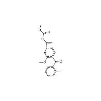 COC(=O)OC1=Cc2cc(C(=O)c3ccccc3F)c(OC)cc21